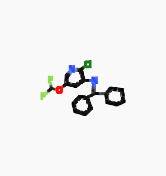 FC(F)Oc1cnc(Cl)c(N=C(c2ccccc2)c2ccccc2)c1